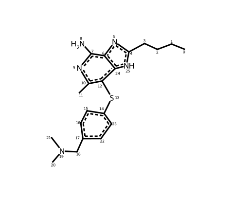 CCCCc1nc2c(N)nc(C)c(Sc3ccc(CN(C)C)cc3)c2[nH]1